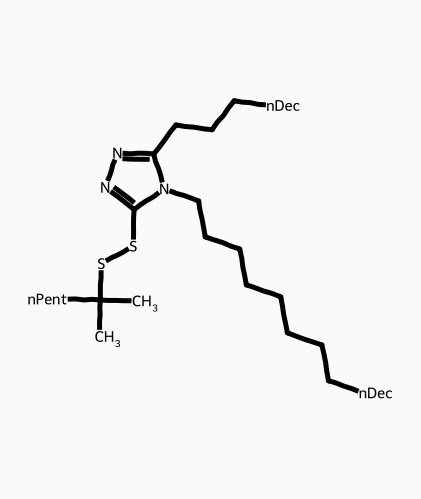 CCCCCCCCCCCCCCCCCCn1c(CCCCCCCCCCCCC)nnc1SSC(C)(C)CCCCC